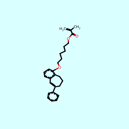 C=C(C)C(=O)OCCCCCCOc1cccc2c1CCCC(c1ccccc1)=C2